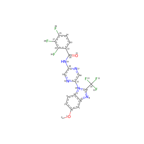 COc1ccc2c(c1)nc(C(F)(F)F)n2-c1cnc(NC(=O)c2ccc(F)c(F)c2F)cn1